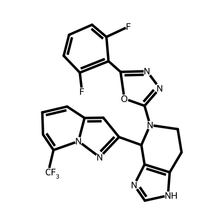 Fc1cccc(F)c1-c1nnc(N2CCc3[nH]cnc3C2c2cc3cccc(C(F)(F)F)n3n2)o1